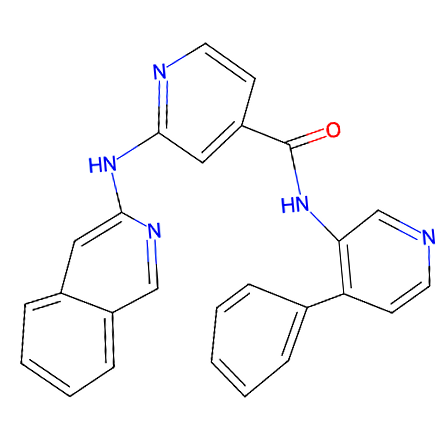 O=C(Nc1cnccc1-c1ccccc1)c1ccnc(Nc2cc3ccccc3cn2)c1